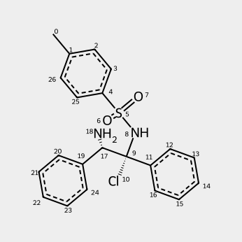 Cc1ccc(S(=O)(=O)N[C@@](Cl)(c2ccccc2)[C@@H](N)c2ccccc2)cc1